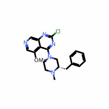 COc1cncc2nc(Cl)nc(N3CCN(C)[C@@H](Cc4ccccc4)C3)c12